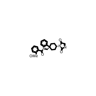 COc1ccccc1C(=O)NC[C@]1(c2ccccc2)CC[C@@H](N2C(=O)C=NC2=O)CC1